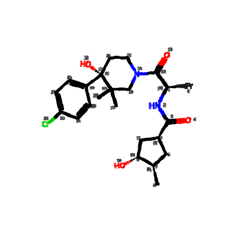 CC(C)[C@@H](NC(=O)[C@H]1C[C@@H](C)[C@H](O)C1)C(=O)N1CC[C@](O)(c2ccc(Cl)cc2)C(C)(C)C1